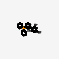 CC(C)c1ccc(-c2cccc(P(C3CCCCC3)C3CCCCC3)c2C(C)C)c(C(C)C)c1